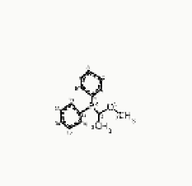 COC(C)P(c1ccccc1)c1ccccc1